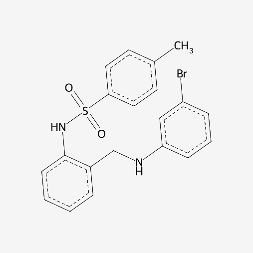 Cc1ccc(S(=O)(=O)Nc2ccccc2CNc2cccc(Br)c2)cc1